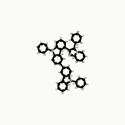 c1ccc(B2c3ccc(-c4ccc5c(c4)c4ccccc4n5-c4ccccc4)cc3-c3c2cccc3-c2nc3ccccn3c2-c2ccccc2)cc1